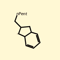 CCCCCCC1[C]C2C=CC=CC2C1